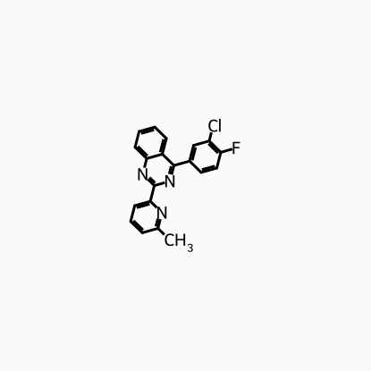 Cc1cccc(-c2nc(-c3ccc(F)c(Cl)c3)c3ccccc3n2)n1